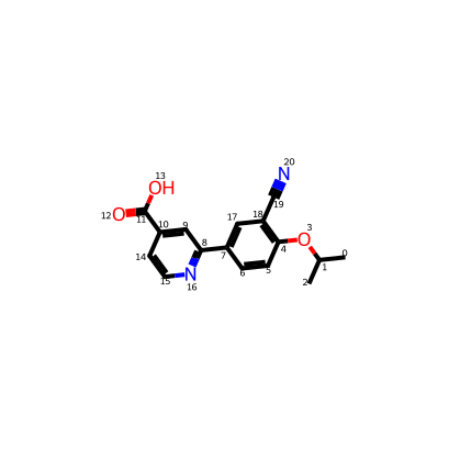 CC(C)Oc1ccc(-c2cc(C(=O)O)ccn2)cc1C#N